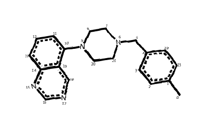 Cc1ccc(CN2CCN(c3cccc4ncncc34)CC2)cc1